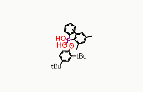 Cc1cc(C)c(P(O)(O)(Oc2ccc(C(C)(C)C)cc2C(C)(C)C)c2ccccc2)c(C)c1